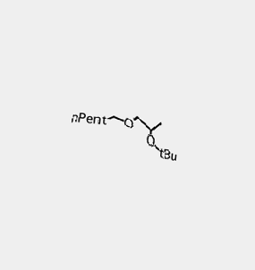 CCCCCCOCC(C)OC(C)(C)C